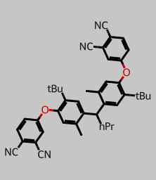 CCCC(c1cc(C(C)(C)C)c(Oc2ccc(C#N)c(C#N)c2)cc1C)c1cc(C(C)(C)C)c(Oc2ccc(C#N)c(C#N)c2)cc1C